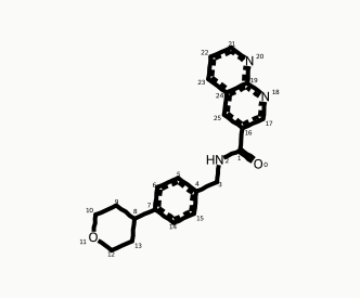 O=C(NCc1ccc(C2CCOCC2)cc1)c1cnc2ncccc2c1